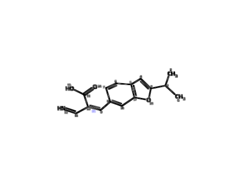 CC(C)c1cc2ccc(/C=C(/C=N)C(=O)O)cc2o1